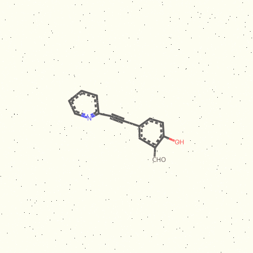 O=Cc1cc(C#Cc2ccccn2)ccc1O